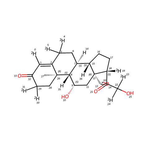 [2H]C1=C2C([2H])([2H])C[C@@H]3[C@H]([C@@H](O)C[C@@]4(C=O)[C@H]3CC[C@]4([2H])C(=O)C([2H])([2H])O)[C@@]2(C)CC([2H])([2H])C1=O